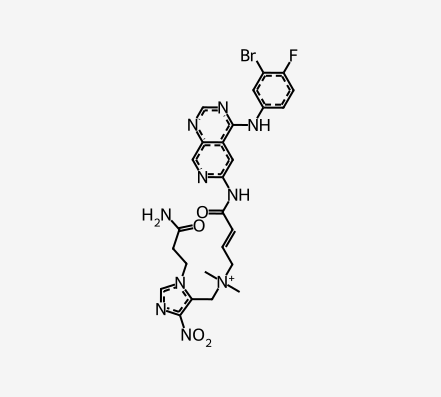 C[N+](C)(C/C=C/C(=O)Nc1cc2c(Nc3ccc(F)c(Br)c3)ncnc2cn1)Cc1c([N+](=O)[O-])ncn1CCC(N)=O